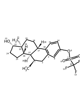 C[C@@H]1Cc2cc(OS(=O)(=O)C(F)(F)F)ccc2[C@H]2CC[C@]3(C)[C@@H](O)CC[C@H]3[C@H]12